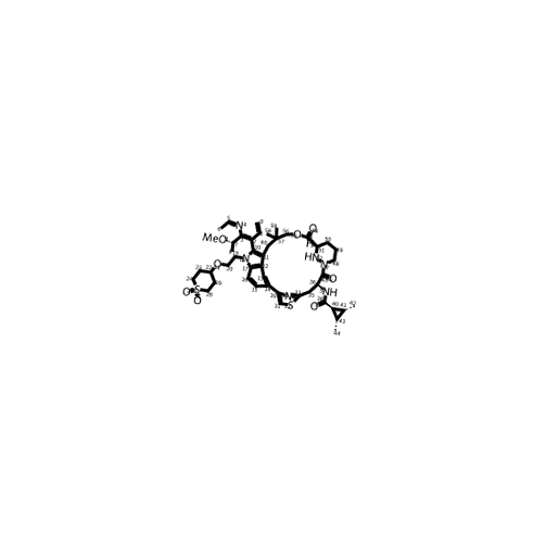 C=C/C(=C(\N=C/C)[C@H](C)OC)c1c2c3cc(ccc3n1CCOC1CCS(=O)(=O)CC1)-c1csc(n1)C[C@H](NC(=O)[C@H]1[C@H](C)[C@@H]1C)C(=O)N1CCC[C@H](N1)C(=O)OCC(C)(C)C2